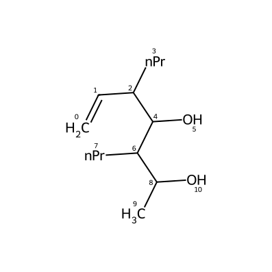 C=CC(CCC)C(O)C(CCC)C(C)O